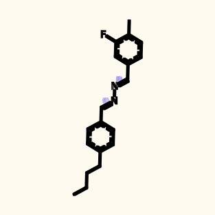 CCCCc1ccc(/C=N/N=C/c2ccc(C)c(F)c2)cc1